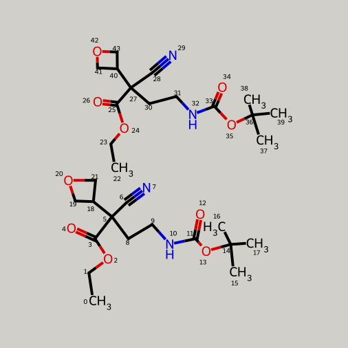 CCOC(=O)C(C#N)(CCNC(=O)OC(C)(C)C)C1COC1.CCOC(=O)C(C#N)(CCNC(=O)OC(C)(C)C)C1COC1